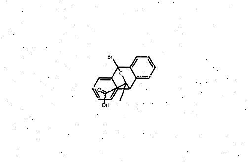 CC1(C(=O)O)CC2(Br)c3ccccc3C1c1ccccc12